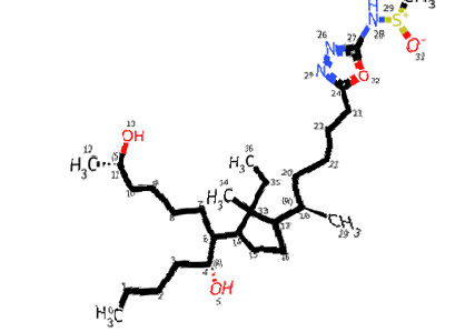 CCCC[C@@H](O)C(CCCC[C@H](C)O)C1CCC([C@H](C)CCCCc2nnc(N[S+](C)[O-])o2)C1(C)CC